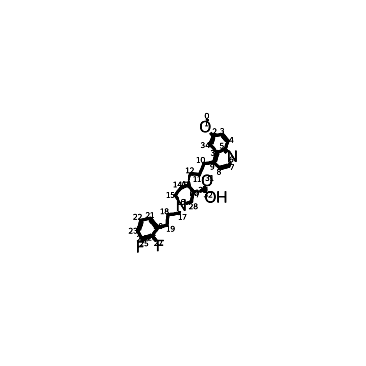 COc1ccc2nccc(CCC[C@@H]3CCN(CCCc4cccc(F)c4F)C[C@@H]3C(=O)O)c2c1